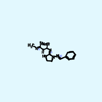 CCC(/N=C1\NCCN1/N=C/c1ccccc1)N/C(=N/C)SC